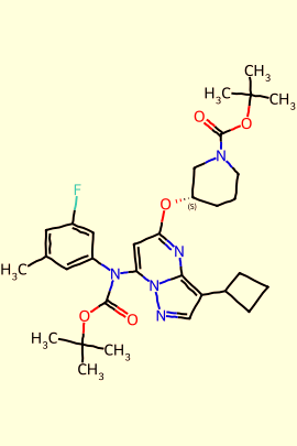 Cc1cc(F)cc(N(C(=O)OC(C)(C)C)c2cc(O[C@H]3CCCN(C(=O)OC(C)(C)C)C3)nc3c(C4CCC4)cnn23)c1